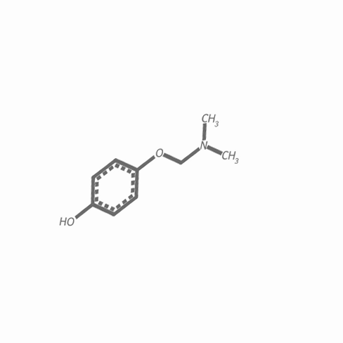 CN(C)COc1ccc(O)cc1